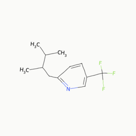 CC(C)C(C)Cc1ccc(C(F)(F)F)cn1